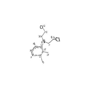 Cc1cccc(N(CCCl)CCCl)c1C